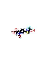 COC(=O)[C@](C)(Cc1ccc(C2=NC(O)(C(F)(F)F)CS2)cc1)NC=O